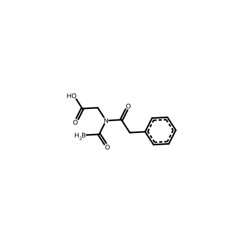 BC(=O)N(CC(=O)O)C(=O)Cc1ccccc1